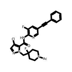 CC(=O)N1CCC(F)(Cn2ncc(Cl)c2C(=O)Nc2ncc(C#Cc3ccccc3)cc2F)CC1